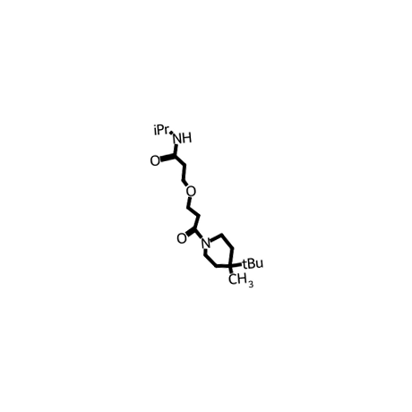 CC(C)NC(=O)CCOCCC(=O)N1CCC(C)(C(C)(C)C)CC1